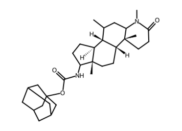 CC1CC2N(C)C(=O)CC[C@]2(C)[C@@H]2CC[C@]3(C)C(NC(=O)OC45CC6CC(CC(C6)C4)C5)CC[C@H]3[C@H]12